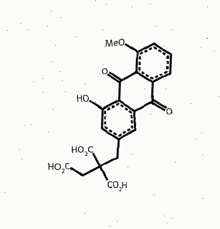 COc1cccc2c1C(=O)c1c(O)cc(CC(CC(=O)O)(C(=O)O)C(=O)O)cc1C2=O